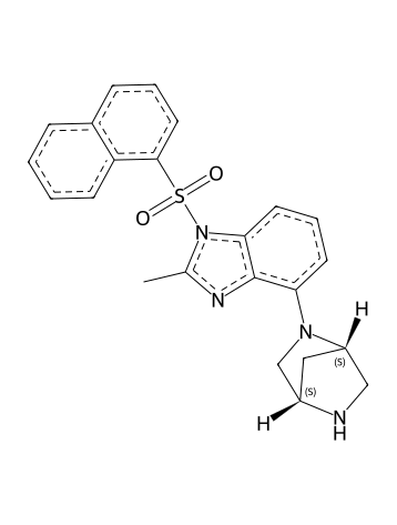 Cc1nc2c(N3C[C@@H]4C[C@H]3CN4)cccc2n1S(=O)(=O)c1cccc2ccccc12